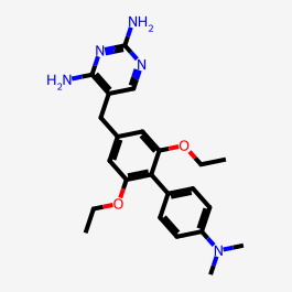 CCOc1cc(Cc2cnc(N)nc2N)cc(OCC)c1-c1ccc(N(C)C)cc1